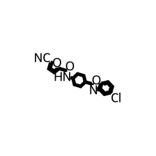 N#Cc1ccc(C(=O)NC2CCC(c3nc4cc(Cl)ccc4o3)CC2)o1